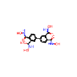 O=C(NO)c1ccc(-c2ccc(C(=O)NO)c(C(O)NO)c2)cc1C(=O)NO